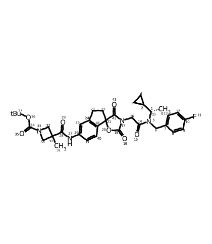 C[C@@H](C1CC1)N(Cc1ccc(F)cc1)C(=O)CN1C(=O)OC2(CCc3cc(NC(=O)C4(C)CN(C(=O)OC(C)(C)C)C4)ccc32)C1=O